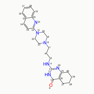 O=c1[nH]c(NCCCN2CCN(c3ccc4ccccc4n3)CC2)nc2c1CCCC2